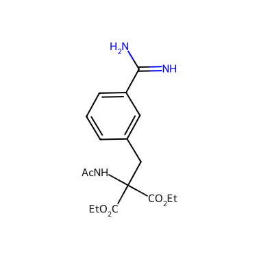 CCOC(=O)C(Cc1cccc(C(=N)N)c1)(NC(C)=O)C(=O)OCC